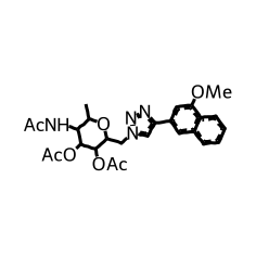 COc1cc(-c2cn(CC3OC(C)C(NC(C)=O)C(OC(C)=O)C3OC(C)=O)nn2)cc2ccccc12